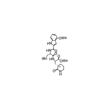 COC(=O)C(C[C@@H]1CCCNC1=O)NC(=O)C(CC(C)(C)C)NC(=O)c1cc2c(OC)cccc2[nH]1